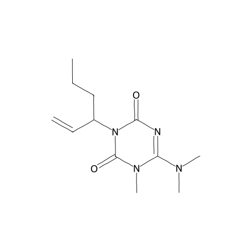 C=CC(CCC)n1c(=O)nc(N(C)C)n(C)c1=O